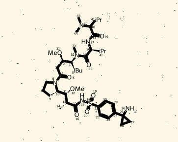 CC[C@H](C)[C@@H]([C@@H](CC(=O)N1CCC[C@H]1[C@H](OC)[C@@H](C)C(=O)NS(=O)(=O)c1ccc(C2(N)CC2)cc1)OC)N(C)C(=O)[C@@H](NC(=O)C(C(C)C)N(C)C)C(C)C